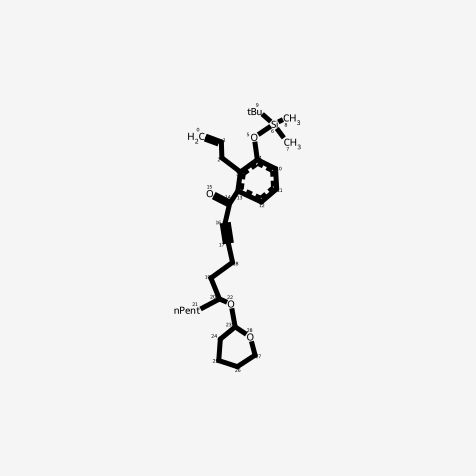 C=CCc1c(O[Si](C)(C)C(C)(C)C)cccc1C(=O)C#CCCC(CCCCC)OC1CCCCO1